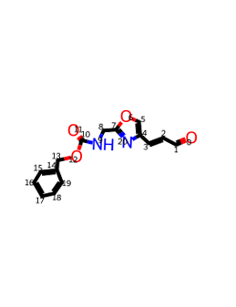 O=C/C=C/c1coc(CNC(=O)OCc2ccccc2)n1